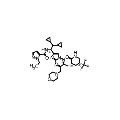 CCn1nccc1C(=O)N[C@H](c1cn2nc(C[C@H]3C[C@@H](C(F)(F)F)CNC3=O)c(CN3CCOCC3)nc2n1)C(C1CC1)C1CC1